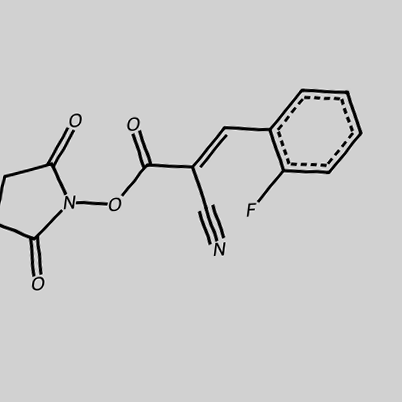 N#CC(=Cc1ccccc1F)C(=O)ON1C(=O)CCC1=O